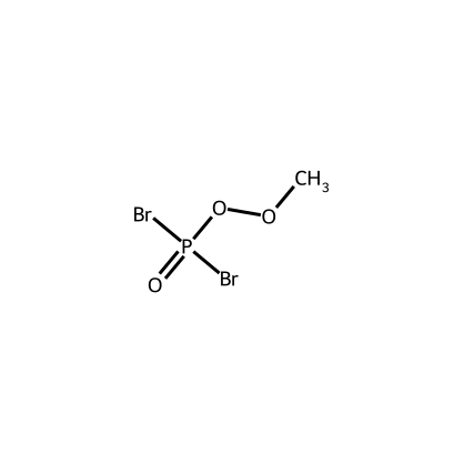 COOP(=O)(Br)Br